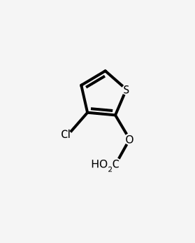 O=C(O)Oc1sccc1Cl